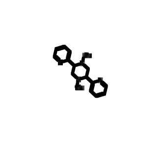 CC(C)(C)N1CC(c2ccccn2)N(C(C)(C)C)CC1c1ccccn1